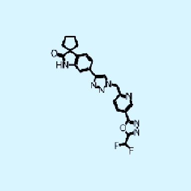 O=C1Nc2cc(-c3cn(Cc4ccc(-c5nnc(C(F)F)o5)cn4)nn3)ccc2C12CCCC2